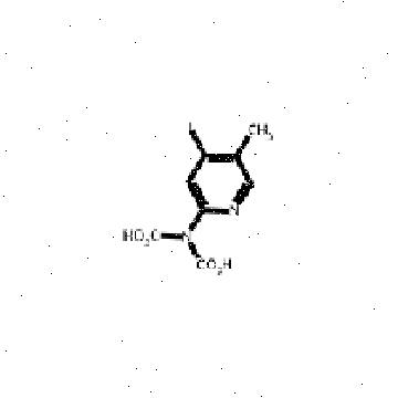 Cc1cnc(N(C(=O)O)C(=O)O)cc1I